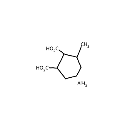 CC1CCCC(C(=O)O)C1C(=O)O.[AlH3]